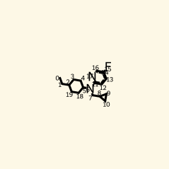 CCC1CCC(N(CC2CC2)c2ccc(F)cn2)CC1